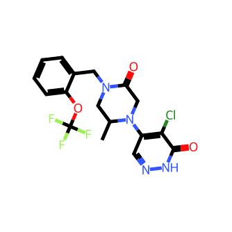 CC1CN(Cc2ccccc2OC(F)(F)F)C(=O)CN1c1cn[nH]c(=O)c1Cl